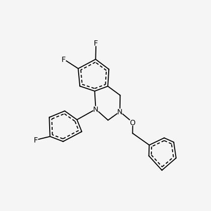 Fc1ccc(N2CN(OCc3ccccc3)Cc3cc(F)c(F)cc32)cc1